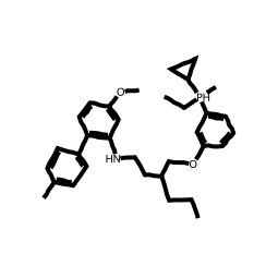 CCCC(CCNc1cc(OC)ccc1-c1ccc(C)cc1)COc1cccc([PH](C)(CC)C2CC2)c1